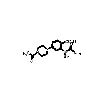 CC(C)N(C(=O)C(F)(F)F)c1cc(N2CCN(C(=O)C(F)(F)F)CC2)ccc1C(=O)O